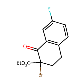 CCOC(=O)C1(Br)CCc2ccc(F)cc2C1=O